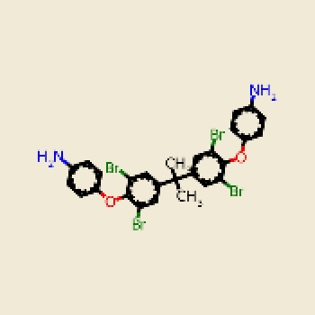 CC(C)(c1cc(Br)c(Oc2ccc(N)cc2)c(Br)c1)c1cc(Br)c(Oc2ccc(N)cc2)c(Br)c1